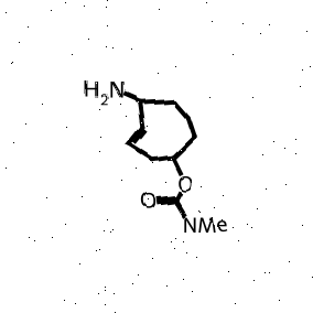 CNC(=O)OC1C/C=C/C(N)CCC1